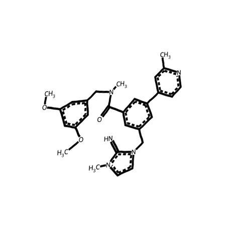 COc1cc(CN(C)C(=O)c2cc(Cn3ccn(C)c3=N)cc(-c3ccnc(C)c3)c2)cc(OC)c1